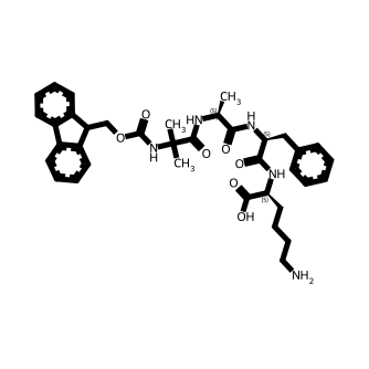 C[C@H](NC(=O)C(C)(C)NC(=O)OCC1c2ccccc2-c2ccccc21)C(=O)N[C@@H](Cc1ccccc1)C(=O)N[C@@H](CCCCN)C(=O)O